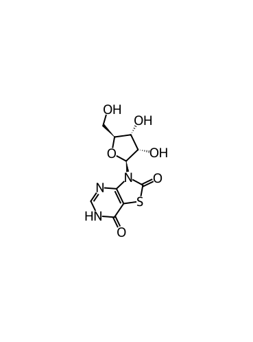 O=c1[nH]cnc2c1sc(=O)n2[C@H]1O[C@@H](CO)[C@H](O)[C@@H]1O